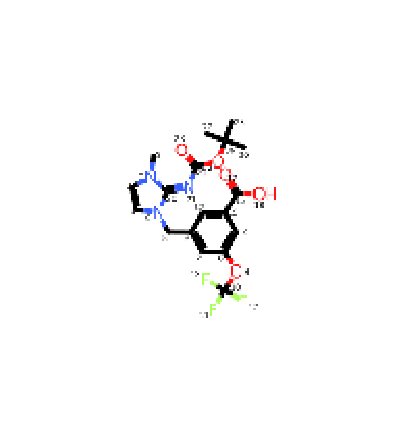 Cn1ccn(Cc2cc(OC(F)(F)F)cc(C(=O)O)c2)/c1=N/C(=O)OC(C)(C)C